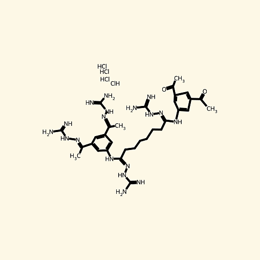 CC(=O)c1cc(NC(CCCCCCC(=NNC(=N)N)Nc2cc(C(C)=NNC(=N)N)cc(C(C)=NNC(=N)N)c2)=NNC(=N)N)cc(C(C)=O)c1.Cl.Cl.Cl.Cl